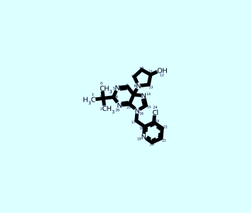 CC(C)(C)C1N=CC2(N3CCC(O)C3)N=CN(Cc3ncccc3Cl)C2=N1